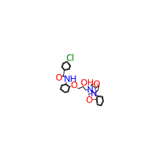 O=C(Nc1ccccc1OCC(O)CN1CCC2OC1C2N1COc2ccccc21)c1ccc(Cl)cc1